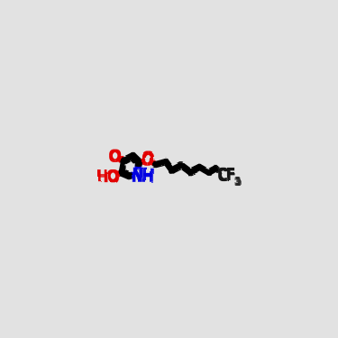 O=c1cc(OCCCCCCCCC(F)(F)F)[nH]cc1O